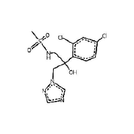 CS(=O)(=O)NCC(O)(Cn1cncn1)c1ccc(Cl)cc1Cl